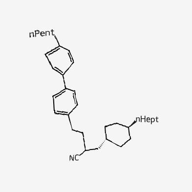 CCCCCCC[C@H]1CC[C@H](CC(C#N)CCc2ccc(-c3ccc(CCCCC)cc3)cc2)CC1